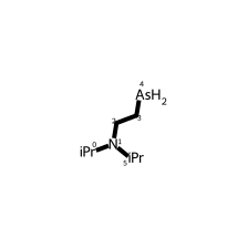 CC(C)N(CC[AsH2])C(C)C